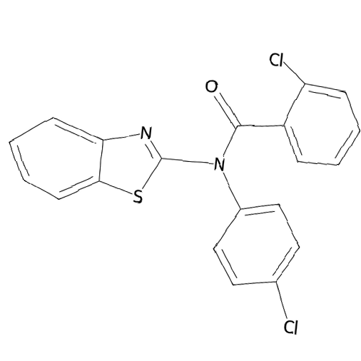 O=C(c1ccccc1Cl)N(c1ccc(Cl)cc1)c1nc2ccccc2s1